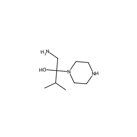 CC(C)C(O)(CN)N1CCNCC1